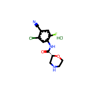 Cl.N#Cc1cc(F)c(NC(=O)[C@H]2CNCCO2)cc1Cl